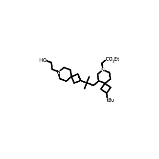 CCOC(=O)CN1CCC2(CC(C(C)(C)C)C2)C(CC(C)(C)C2CC3(CCN(CCO)CC3)C2)C1